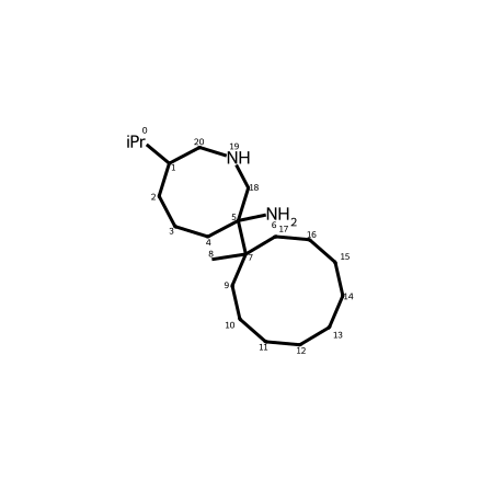 CC(C)C1CCCC(N)(C2(C)CCCCCCCCC2)CNC1